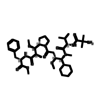 COC(=O)[C@H](Cc1ccccc1)NC(=O)[C@H](C)[C@@H](OC)[C@@H]1CCCN1C(=O)C[C@@H](OC)[C@H](C1CCCCC1)N(C)C(=O)[C@@H](NC(=O)C(C)(C)N)C(C)C